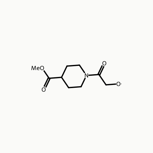 COC(=O)C1CCN(C(=O)C[O])CC1